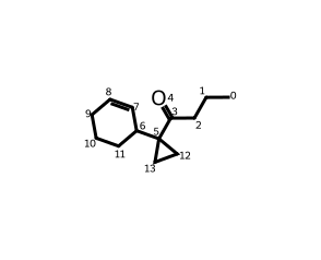 CCCC(=O)C1(C2C=CCCC2)CC1